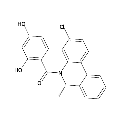 C[C@H]1c2ccccc2-c2ccc(Cl)cc2N1C(=O)c1ccc(O)cc1O